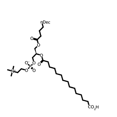 CCCCCCCCCCCCCC(=O)OC[C@H](COP(=O)([O-])OCC[N+](C)(C)C)OC(=O)CCCCCCCCCCCCCC(=O)O